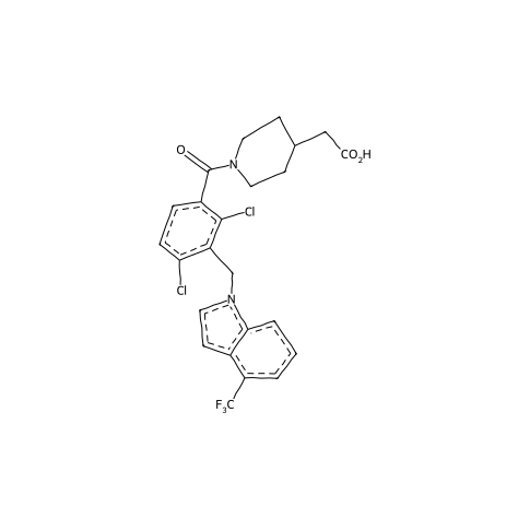 O=C(O)CC1CCN(C(=O)c2ccc(Cl)c(Cn3ccc4c(C(F)(F)F)cccc43)c2Cl)CC1